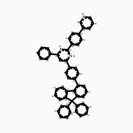 c1ccc(-c2cc(-c3ccc(-c4cccc5c4-c4ccccc4C5(c4ccccc4)c4ccccc4)cc3)nc(-c3ccc(-c4cccnc4)cc3)n2)cc1